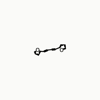 C(C#Cc1ccco1)#Cc1ccco1